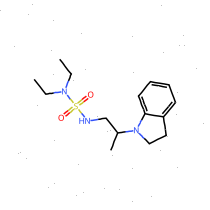 CCN(CC)S(=O)(=O)NCC(C)N1CCc2ccccc21